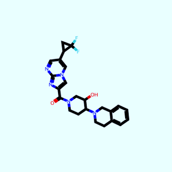 O=C(c1cn2cc(C3CC3(F)F)cnc2n1)N1CCC(N2CCc3ccccc3C2)C(O)C1